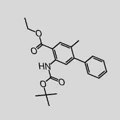 CCOC(=O)c1cc(C)c(-c2ccccc2)cc1NC(=O)OC(C)(C)C